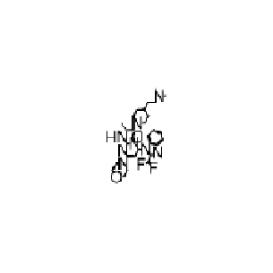 C[C@H](Nc1nc(N2CCOCC2)cc(-n2c(C(F)F)nc3ccccc32)n1)C(=O)N1CCC(CCN(C)C)CC1